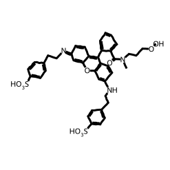 CN(CCCOO)C(=O)c1ccccc1-c1c2cc/c(=N/CCc3ccc(S(=O)(=O)O)cc3)cc-2oc2cc(NCCc3ccc(S(=O)(=O)O)cc3)ccc12